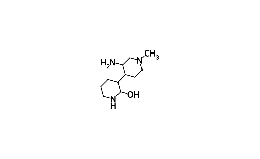 CN1CCC(C2CCCNC2O)C(N)C1